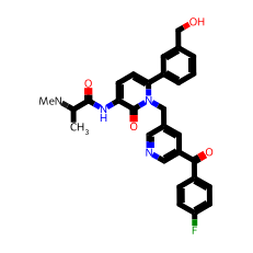 CNC(C)C(=O)Nc1ccc(-c2cccc(CO)c2)n(Cc2cncc(C(=O)c3ccc(F)cc3)c2)c1=O